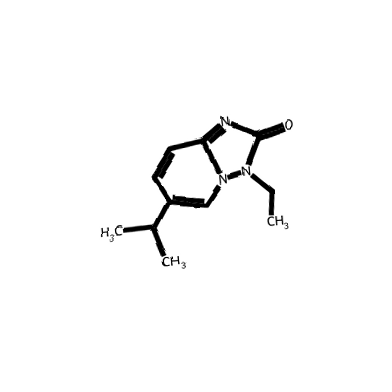 CCn1c(=O)nc2ccc(C(C)C)cn21